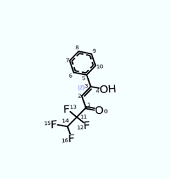 O=C(/C=C(\O)c1ccccc1)C(F)(F)C(F)F